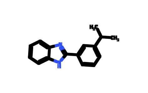 CC(C)c1cccc(-c2nc3ccccc3[nH]2)c1